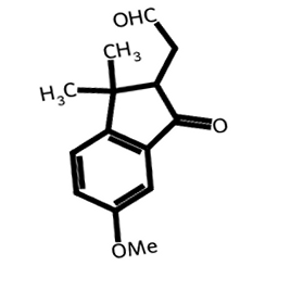 COc1ccc2c(c1)C(=O)C(CC=O)C2(C)C